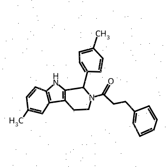 Cc1ccc(C2c3[nH]c4ccc(C)cc4c3CCN2C(=O)CCc2ccccc2)cc1